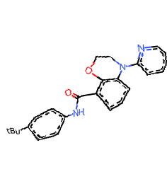 CC(C)(C)c1ccc(NC(=O)c2cccc3c2OCCN3c2ccccn2)cc1